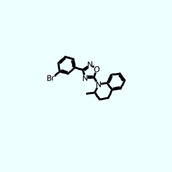 CC1CCc2ccccc2N1c1nc(-c2cccc(Br)c2)no1